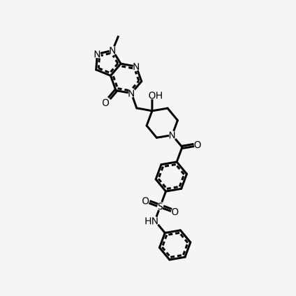 Cn1ncc2c(=O)n(CC3(O)CCN(C(=O)c4ccc(S(=O)(=O)Nc5ccccc5)cc4)CC3)cnc21